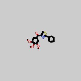 COc1cc(C(=O)c2csc(C3=CC=CCC3)n2)cc(OC)c1OC